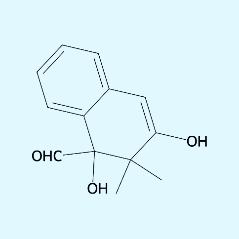 CC1(C)C(O)=Cc2ccccc2C1(O)C=O